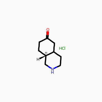 Cl.O=C1CC[C@H]2CNCCC2C1